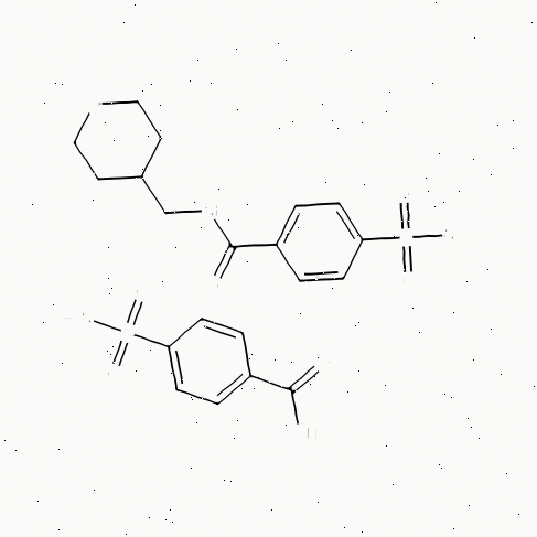 NS(=O)(=O)c1ccc(C(=O)NCC2CCOCC2)cc1.NS(=O)(=O)c1ccc(C(=O)O)cc1